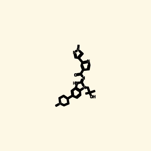 CN1CCC(c2ccc3c(c2)[nH]/c(=N\C(=O)c2ccnc(-c4cnn(C)c4)c2)n3CC(C)(C)O)CC1